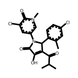 Cc1cc(Cl)ccc1C1C(C(=O)C(C)C)=C(O)C(=O)N1c1cc(Cl)c(=O)n(C)c1